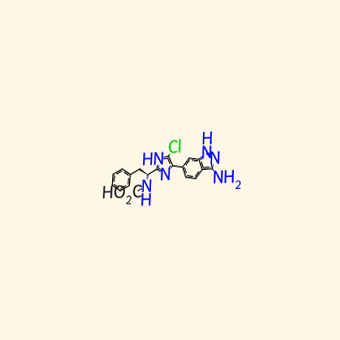 Nc1n[nH]c2cc(-c3nc([C@H](Cc4ccccc4)NC(=O)O)[nH]c3Cl)ccc12